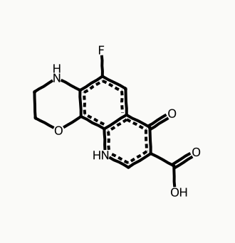 O=C(O)c1c[nH]c2c3c(c(F)cc2c1=O)NCCO3